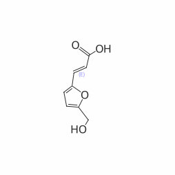 O=C(O)/C=C/c1ccc(CO)o1